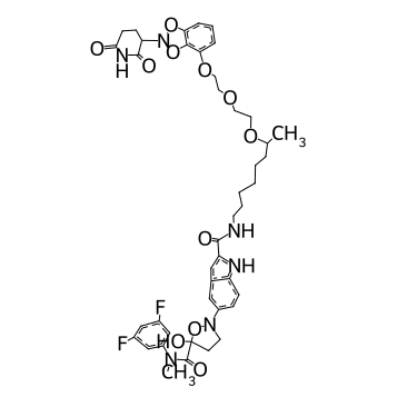 CC(CCCCCCNC(=O)c1cc2cc(N3CCC(O)(C(=O)N(C)c4cc(F)cc(F)c4)O3)ccc2[nH]1)OCCOCCOc1cccc2c1ON(C1CCC(=O)NC1=O)O2